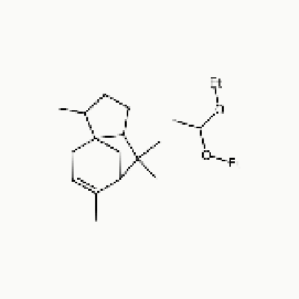 CC1=CCC23CC1C(C)(C)C2CCC3C.CCOC(C)OCC